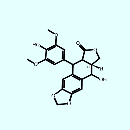 COc1cc(C2c3cc4c(cc3C(O)[C@H]3COC(=O)C23)OCO4)cc(OC)c1O